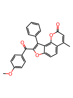 COc1ccc(C(=O)c2oc3ccc4c(C)cc(=O)oc4c3c2-c2ccccc2)cc1